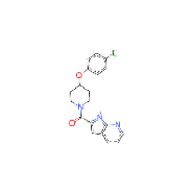 Cn1c(C(=O)N2CCC(Oc3ccc(Cl)cc3)CC2)cc2cccnc21